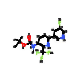 CN(C(=O)OC(C)(C)C)c1ccc(-c2cncc(F)c2)nc1C(F)(F)F